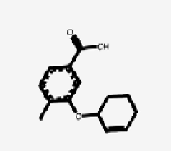 Cc1ccc(C(=O)O)cc1OC1C=CCCC1